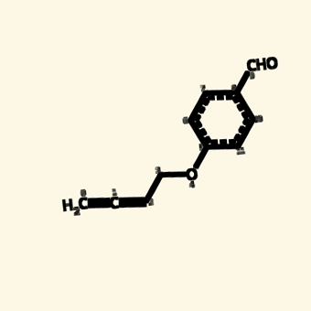 C=C=CCOc1ccc(C=O)cc1